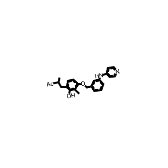 CC(=O)C(C)Cc1ccc(OCc2cccc(Nc3ccncc3)c2)c(C)c1O